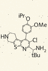 COc1cc(-c2c(Cl)c(C(N)C(C)(C)C)nc3sc4c(c23)CCNC4)ccc1OC(C)C